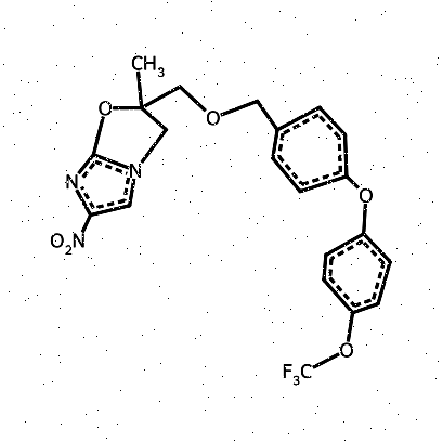 CC1(COCc2ccc(Oc3ccc(OC(F)(F)F)cc3)cc2)Cn2cc([N+](=O)[O-])nc2O1